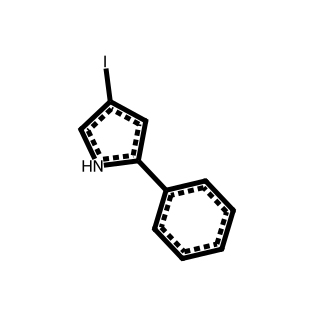 Ic1c[nH]c(-c2ccccc2)c1